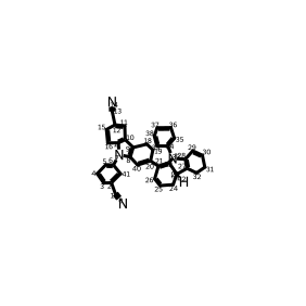 N#Cc1cccc(-n2c3c(c4cc(C#N)ccc42)CCC(C2=C4[C@@H](CC=C2)C2=C(C=CCC2)N4c2ccccc2)=C3)c1